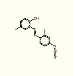 Cc1ccc(O)c(N=Nc2ccc(N=[N+]=[N-])cc2C)c1